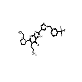 CCCn1c(N2CCC[C@H]2CO)nc2nc(-c3cnn(Cc4cccc(C(F)(F)F)c4)c3)[nH]c2c1=O